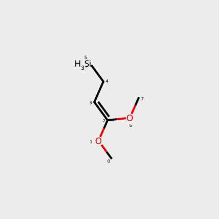 COC(=CC[SiH3])OC